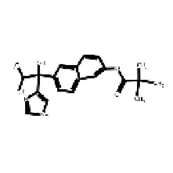 CC(C)C(O)(c1ccc2cc(OC(=O)C(C)(C)C)ccc2c1)c1c[nH]cn1